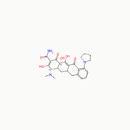 CN(C)[C@@H]1C(O)=C(C(N)=O)C(=O)[C@@]2(O)C(O)=C3C(=O)c4c(cccc4N4CCCC4)CC3CC12